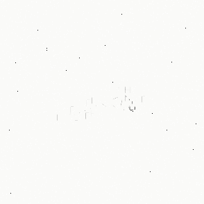 Cc1cc(C=CC(F)(F)C(F)(F)C(F)(F)C(F)(F)C(F)(F)C(F)(F)F)cc(C)c1NC(=O)C(F)(F)F